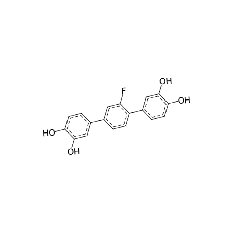 Oc1ccc(-c2ccc(-c3ccc(O)c(O)c3)c(F)c2)cc1O